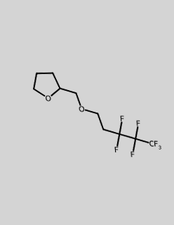 FC(F)(F)C(F)(F)C(F)(F)CCOCC1CCCO1